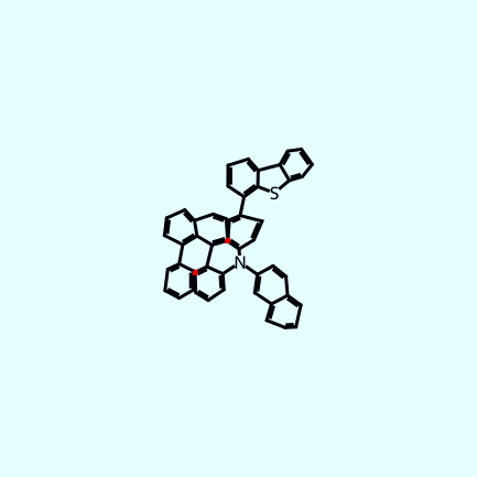 c1ccc(-c2cccc3cccc(-c4ccccc4N(c4ccc(-c5cccc6c5sc5ccccc56)cc4)c4ccc5ccccc5c4)c23)cc1